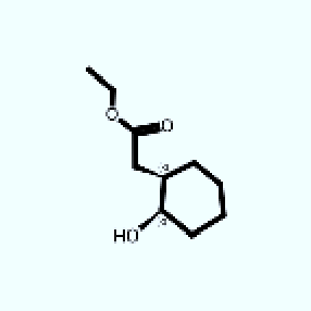 CCOC(=O)C[C@H]1CCCC[C@H]1O